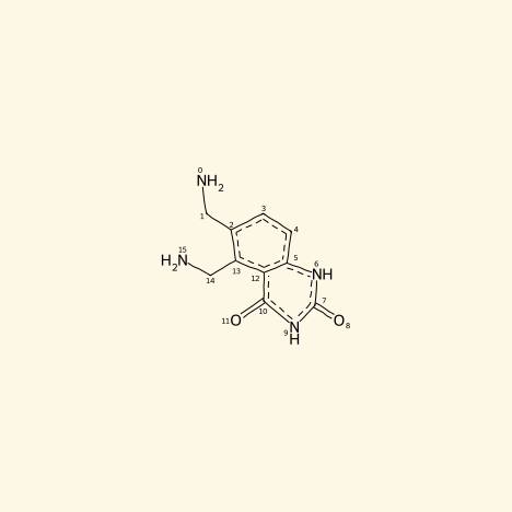 NCc1ccc2[nH]c(=O)[nH]c(=O)c2c1CN